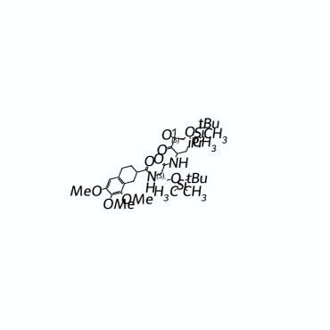 COc1cc2c(c(OC)c1OC)CC(C(=O)N[C@@H](CO[Si](C)(C)C(C)(C)C)C(=O)NC(CC(C)C)C(=O)[C@@]1(CO[Si](C)(C)C(C)(C)C)CO1)CC2